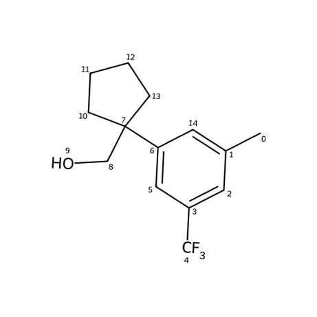 Cc1cc(C(F)(F)F)cc(C2(CO)CCCC2)c1